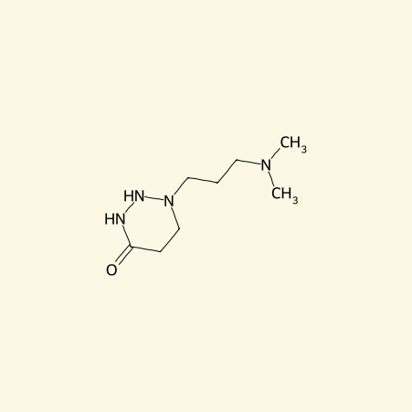 CN(C)CCCN1CCC(=O)NN1